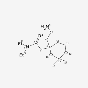 CCN(CC)C(=O)CC1(CCN)CCOC(C)(C)O1